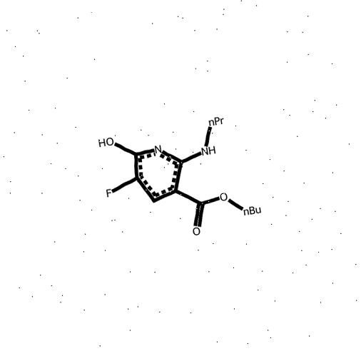 CCCCOC(=O)c1cc(F)c(O)nc1NCCC